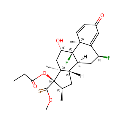 CCC(=O)O[C@]1(C(=S)OC)[C@H](C)C[C@H]2[C@@H]3C[C@H](F)C4=CC(=O)C=C[C@]4(C)[C@@]3(F)[C@@H](O)C[C@@]21C